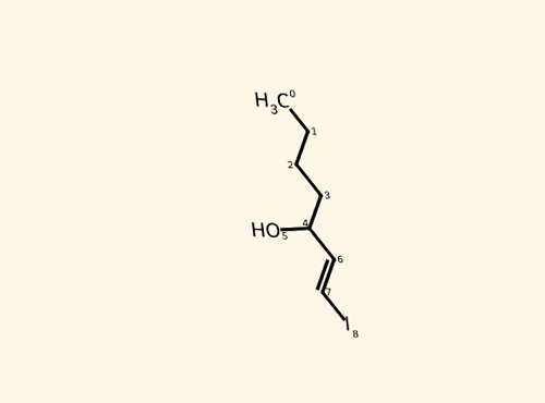 CCCCC(O)C=CI